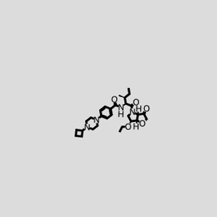 CCO[C@H]1CN(C(=O)[C@@H](NC(=O)c2ccc(N3CCN(C4CCC4)CC3)cc2)[C@@H](C)CC)[C@@H]2C(=O)CO[C@H]12